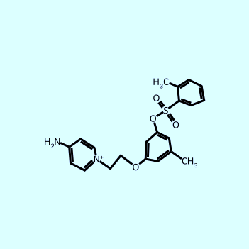 Cc1cc(OCC[n+]2ccc(N)cc2)cc(OS(=O)(=O)c2ccccc2C)c1